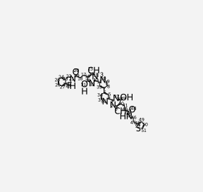 Cc1nc(-c2cc(-c3ccnc(-c4nc(C)c(CCC(=O)NCc5ccccc5F)c(O)n4)c3)ccn2)nc(O)c1CCC(=O)NCCc1cccs1